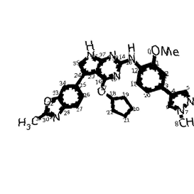 COc1cc(-c2cnn(C)c2)ccc1Nc1nc(OC2CCCC2)c2c(-c3ccc4nc(C)oc4c3)c[nH]c2n1